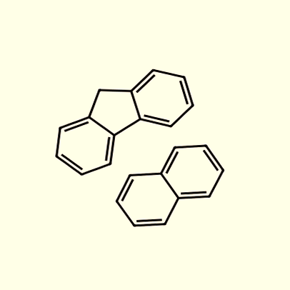 c1ccc2c(c1)Cc1ccccc1-2.c1ccc2ccccc2c1